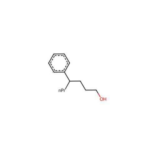 CCCC(CCCO)c1[c]cccc1